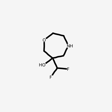 OC1(C(F)F)CNCCOC1